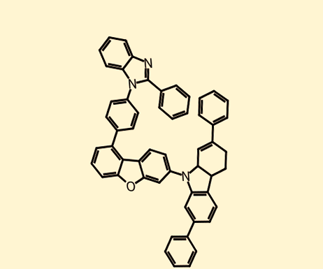 C1=C(c2ccccc2)CCC2c3ccc(-c4ccccc4)cc3N(c3ccc4c(c3)oc3cccc(-c5ccc(-n6c(-c7ccccc7)nc7ccccc76)cc5)c34)C12